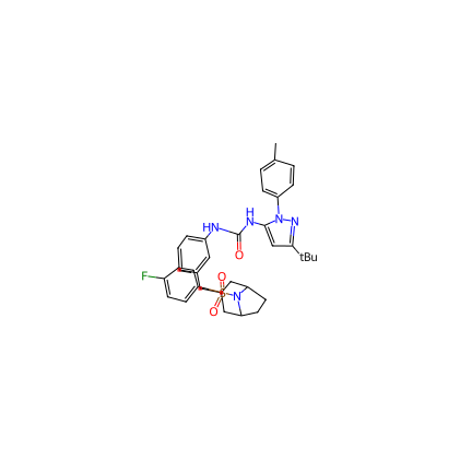 Cc1ccc(-n2nc(C(C)(C)C)cc2NC(=O)Nc2cccc(CC3CC4CCC(C3)N4S(=O)(=O)c3ccc(F)cc3)c2)cc1